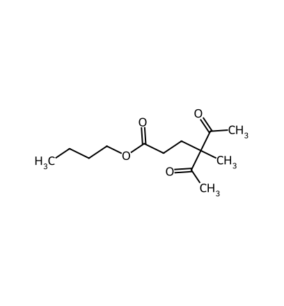 CCCCOC(=O)CCC(C)(C(C)=O)C(C)=O